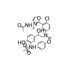 CC(N)=O.C[C@H](Oc1ccccc1)N(CC(O)c1ccc(O)c(NS(C)(=O)=O)c1)c1ccc(Cl)c(-c2ncco2)c1